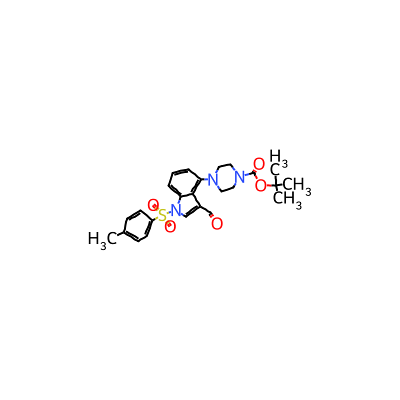 Cc1ccc(S(=O)(=O)n2cc(C=O)c3c(N4CCN(C(=O)OC(C)(C)C)CC4)cccc32)cc1